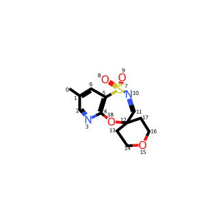 Cc1cnc2c(c1)S(=O)(=O)N=CC1(CCOCC1)O2